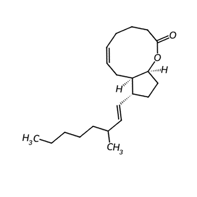 CCCCCC(C)/C=C/[C@H]1CC[C@@H]2OC(=O)CCC/C=C\C[C@@H]21